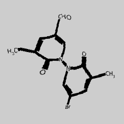 Cc1cc(Br)cn(-n2cc(C=O)cc(C)c2=O)c1=O